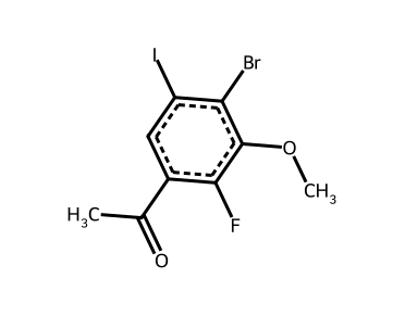 COc1c(F)c(C(C)=O)cc(I)c1Br